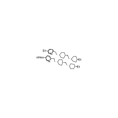 CCCCCCc1ccc(CC[C@H]2CC[C@H](CC[C@H]3CC[C@H](CC)CC3)CC2)nc1.CCc1ccc(CC[C@H]2CC[C@H](CC[C@H]3CC[C@H](CC)CC3)CC2)nc1